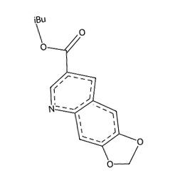 CCC(C)OC(=O)c1cnc2cc3c(cc2c1)OCO3